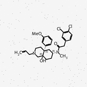 C=CCN1CC[C@@]2(c3cccc(OC)c3)C[C@H](N(C)C(=O)Cc3ccc(Cl)c(Cl)c3)CC[C@]2(O)C1